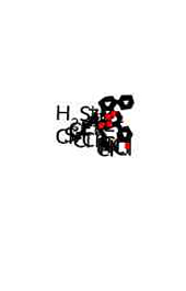 CCC1=Cc2c(-c3ccccc3)cccc2[CH]1[Zr](=[SiH2])([CH2]CCC[Si](Cl)(Cl)Cl)([CH2]CCC[Si](Cl)(Cl)Cl)[CH]1C(CC)=Cc2c(-c3ccccc3)cccc21.Cl.Cl